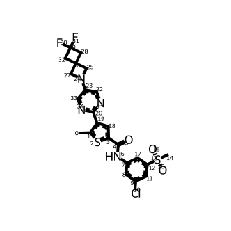 Cc1sc(C(=O)Nc2cc(Cl)cc(S(C)(=O)=O)c2)cc1-c1ncc(N2CC3(C2)CC(F)(F)C3)cn1